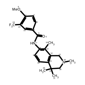 COc1ccc(C(=O)Nc2ccc3c(c2C)CN(C)CC3(C)C)cc1C(F)(F)F